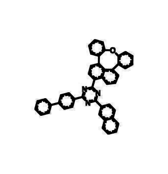 c1ccc(-c2ccc(-c3nc(-c4ccc5ccccc5c4)nc(-c4ccc5c6c(cccc46)-c4ccccc4Oc4ccccc4-5)n3)cc2)cc1